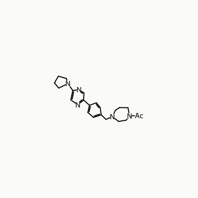 CC(=O)N1CCCN(Cc2ccc(-c3cnc(N4CCCC4)cn3)cc2)CC1